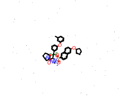 Cc1cccc(Oc2cccc(C(F)(F)C(C(=O)N3C4CCC3CC(N)C4)N(C)S(=O)(=O)c3ccc4cc(OC5CCCC5)ccc4c3)c2)c1